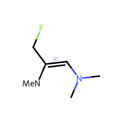 CN/C(=C\N(C)C)CF